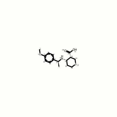 COc1ccc([C@H](C)N[C@H]2CCSC[C@H]2C(=O)O)cc1